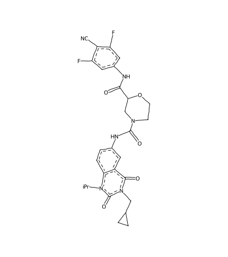 CC(C)n1c(=O)n(CC2CC2)c(=O)c2cc(NC(=O)N3CCOC(C(=O)Nc4cc(F)c(C#N)c(F)c4)C3)ccc21